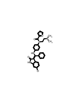 CN(C)CCN(C(=O)c1ccco1)c1ccc(N/C(=C2\C(=O)Nc3cc(Cl)ccc32)c2ccccc2)cc1